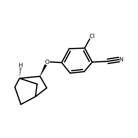 N#Cc1ccc(O[C@H]2CC3CC[C@@H]2C3)cc1Cl